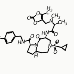 Cc1oc(=O)oc1CN(C)[C@@H](C)C(=O)N[C@H]1CN(S(=O)(=O)C2CC2)CC[C@H]2CC[C@@H](C(=O)NCc3ccc(F)cc3)N2C1=O